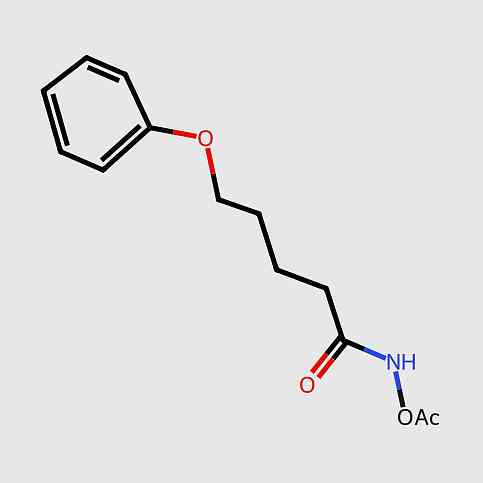 CC(=O)ONC(=O)CCCCOc1ccccc1